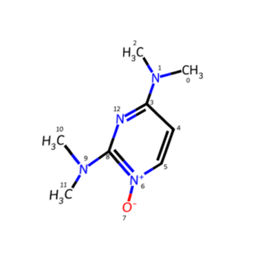 CN(C)c1cc[n+]([O-])c(N(C)C)n1